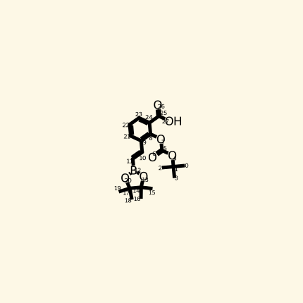 CC(C)(C)OC(=O)Oc1c(/C=C/B2OC(C)(C)C(C)(C)O2)cccc1C(=O)O